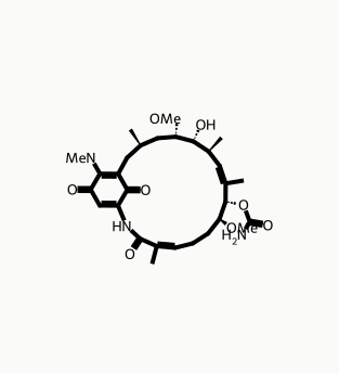 CNC1=C2C[C@@H](C)C[C@H](OC)[C@H](O)[C@@H](C)C=C(C)[C@H](OC(N)=O)[C@@H](OC)CCC=C(C)C(=O)NC(=CC1=O)C2=O